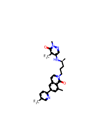 Cc1cc(-c2ccc(C(F)(F)F)cn2)cc2ccn(CCC[C@H](C)Nc3cnn(C)c(=O)c3C(F)(F)F)c(=O)c12